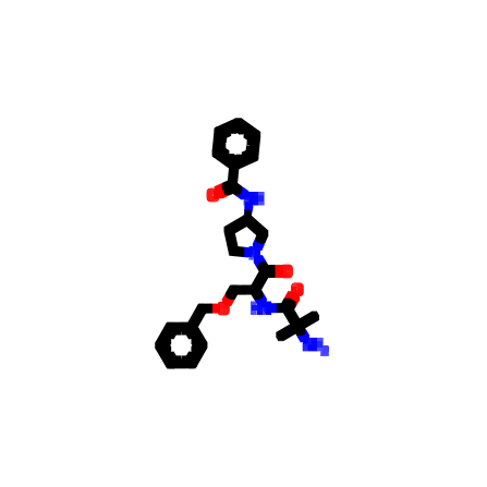 CC(C)(N)C(=O)NC(COCc1ccccc1)C(=O)N1CC[C@@H](NC(=O)c2ccccc2)C1